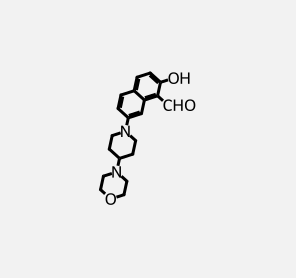 O=Cc1c(O)ccc2ccc(N3CCC(N4CCOCC4)CC3)cc12